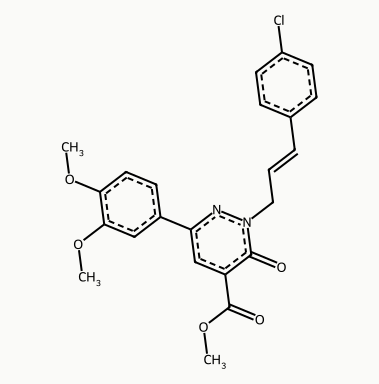 COC(=O)c1cc(-c2ccc(OC)c(OC)c2)nn(CC=Cc2ccc(Cl)cc2)c1=O